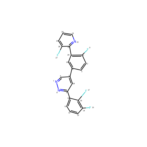 Fc1ccc(-c2cnnc(-c3cccc(F)c3F)c2)cc1-c1ncccc1F